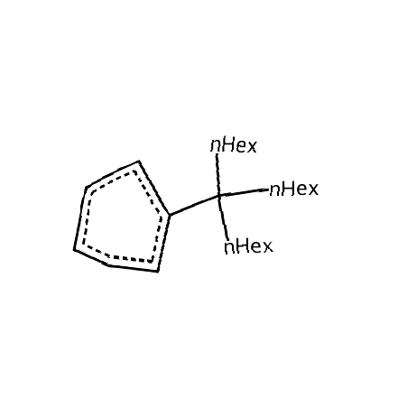 CCCCCCC(CCCCCC)(CCCCCC)c1ccccc1